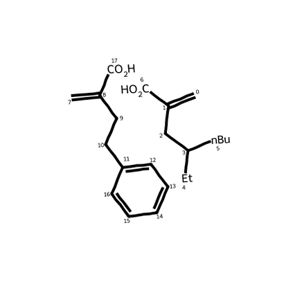 C=C(CC(CC)CCCC)C(=O)O.C=C(CCc1ccccc1)C(=O)O